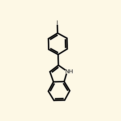 Ic1ccc(-c2cc3ccccc3[nH]2)cc1